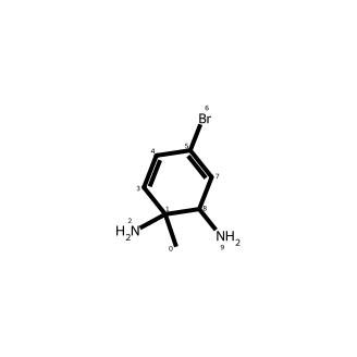 CC1(N)C=CC(Br)=CC1N